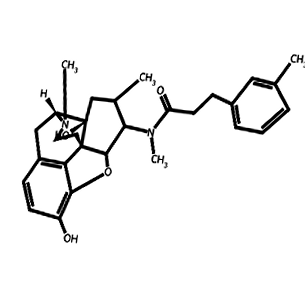 Cc1cccc(CCC(=O)N(C)C2C(C)C[C@@]3(O)[C@H]4Cc5ccc(O)c6c5[C@@]3(CCN4C)C2O6)c1